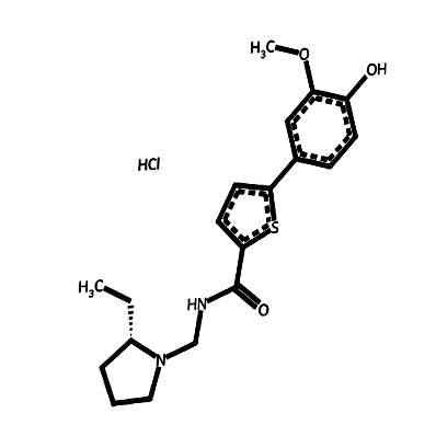 CC[C@H]1CCCN1CNC(=O)c1ccc(-c2ccc(O)c(OC)c2)s1.Cl